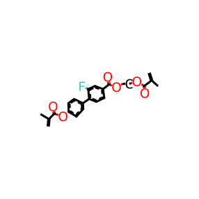 C=C(C)C(=O)OCCOC(=O)c1ccc(-c2ccc(OC(=O)C(=C)C)cc2)c(F)c1